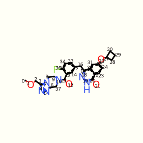 COCc1nnc2n1CCN(C(=O)c1cc(Cc3n[nH]c(=O)c4ccc(OC5CCC5)cc34)ccc1F)C2